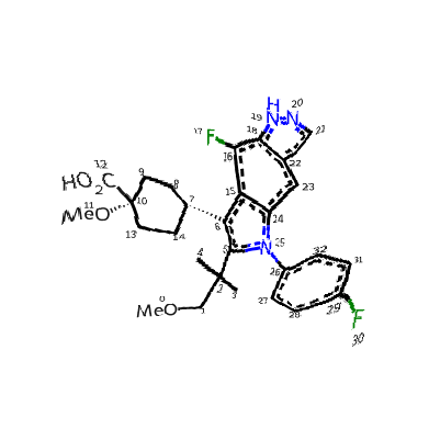 COCC(C)(C)c1c([C@H]2CC[C@](OC)(C(=O)O)CC2)c2c(F)c3[nH]ncc3cc2n1-c1ccc(F)cc1